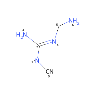 N#C[N]C(N)=NCN